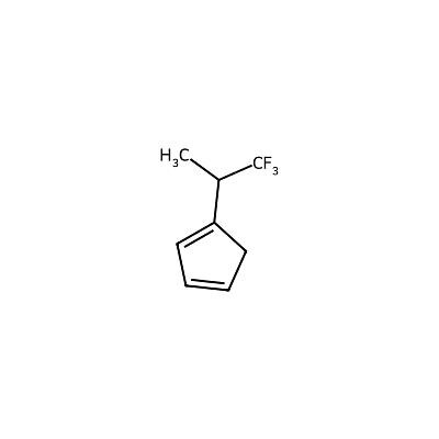 CC(C1=CC=CC1)C(F)(F)F